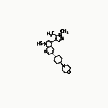 Cc1c(-c2cn(S)c3ncc([C@H]4CC[C@H](N5CCOCC5)CC4)cc23)cnn1C